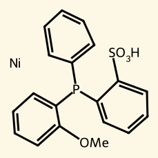 COc1ccccc1P(c1ccccc1)c1ccccc1S(=O)(=O)O.[Ni]